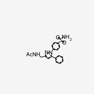 CC(=O)NCc1cc(-c2ccccc2)n(-c2ccc(S(N)(=O)=O)cc2)n1